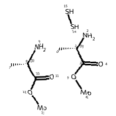 C[C@H](N)C(=O)[O][Mo].C[C@H](N)C(=O)[O][Mo].SS